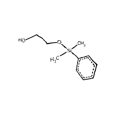 C[Si](C)(OCCO)c1ccccc1